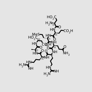 CSCC[C@H](NC(=O)[C@H](CCC(=O)O)NC(=O)[C@@H](N)CC(=O)O)C(=O)N[C@@H](CCC(N)=O)C(=O)N[C@@H](CCCNC(=N)N)C(=O)N[C@@H](CCCNC(=N)N)C(=O)N[C@@H](C)C(=O)N[C@@H](CC(=O)O)C(=O)O